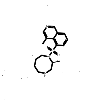 Cc1cncc2cccc(S(=O)(=O)N3CCCCNC[C@@H]3C)c12